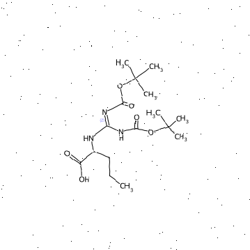 CCCC(N/C(=N/C(=O)OC(C)(C)C)NC(=O)OC(C)(C)C)C(=O)O